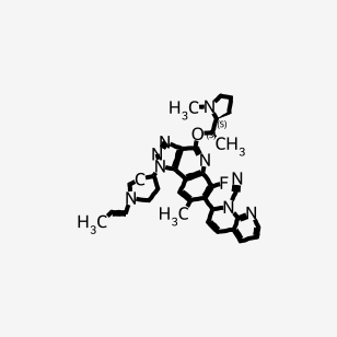 CC=CN1CCC(n2nnc3c(O[C@@H](C)[C@@H]4CCCN4C)nc4c(F)c(C5C=Cc6cccnc6N5C#N)c(C)cc4c32)CC1